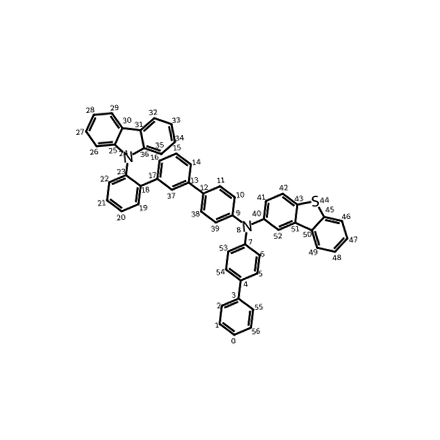 c1ccc(-c2ccc(N(c3ccc(-c4cccc(-c5ccccc5-n5c6ccccc6c6ccccc65)c4)cc3)c3ccc4sc5ccccc5c4c3)cc2)cc1